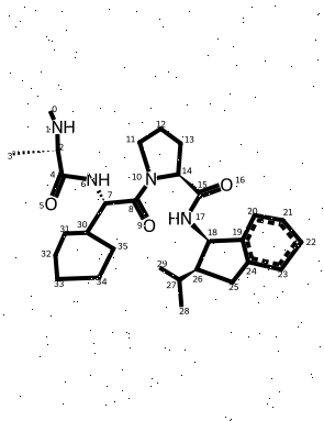 CN[C@@H](C)C(=O)N[C@H](C(=O)N1CCC[C@H]1C(=O)N[C@H]1c2ccccc2C[C@H]1C(C)C)C1CCCCC1